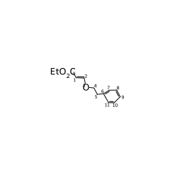 CCOC(=O)/C=C/OCCc1ccccc1